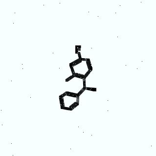 Cc1cc(F)ccc1[C@@H](C)c1ccccc1